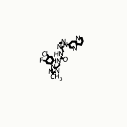 Cc1nc(CNC(=O)NCc2ncnn2-c2cnc3cccnc3c2)n(-c2ccc(Cl)c(F)c2)n1